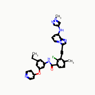 CCc1cc(NC(=O)c2ccc(C)c(C#Cc3cnc4c(Nc5cnn(C)c5)cccn34)c2F)cc(Oc2ccncc2)c1